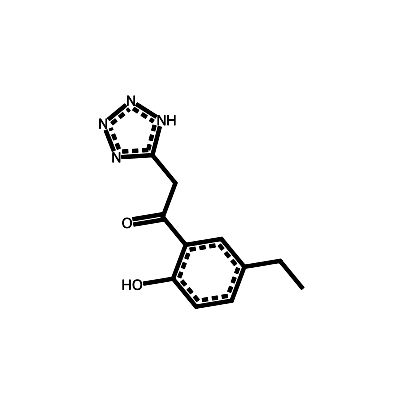 CCc1ccc(O)c(C(=O)Cc2nnn[nH]2)c1